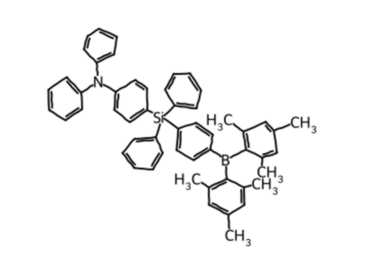 Cc1cc(C)c(B(c2ccc([Si](c3ccccc3)(c3ccccc3)c3ccc(N(c4ccccc4)c4ccccc4)cc3)cc2)c2c(C)cc(C)cc2C)c(C)c1